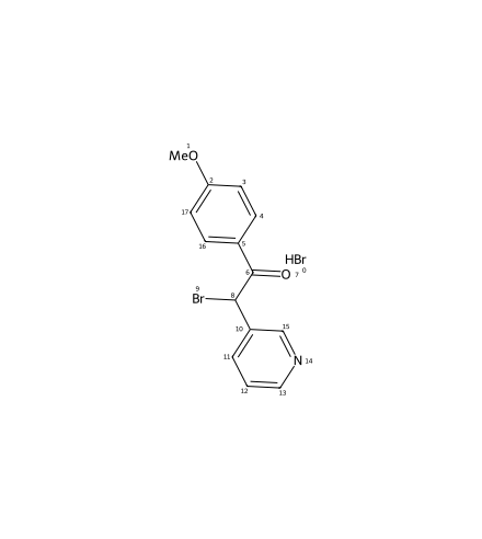 Br.COc1ccc(C(=O)C(Br)c2cccnc2)cc1